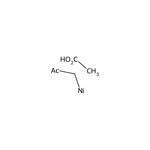 CC(=O)O.CC(=O)[CH2][Ni]